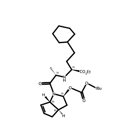 CCOC(=O)[C@H](CCC1CCCCC1)N[C@@H](C)C(=O)N1[C@@H](OC(=O)OC(C)(C)C)C[C@H]2CC=C[C@@H]21